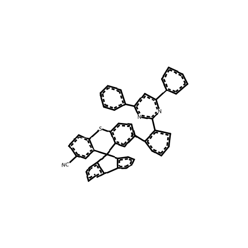 N#Cc1ccc2c(c1)C1(c3cc(-c4ccccc4-c4nc(-c5ccccc5)cc(-c5ccccc5)n4)ccc3S2)c2ccccc2-c2ccccc21